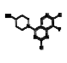 OC1CCN(c2nc(Cl)nc3c(F)c(Cl)ncc23)CC1